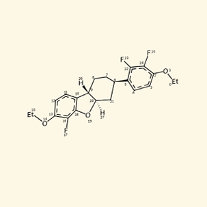 CCOc1ccc([C@@H]2CC[C@H]3c4ccc(OCC)c(F)c4O[C@@H]3C2)c(F)c1F